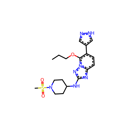 CCCOc1c(-c2cn[nH]c2)ccc2nc(NC3CCN(S(C)(=O)=O)CC3)nn12